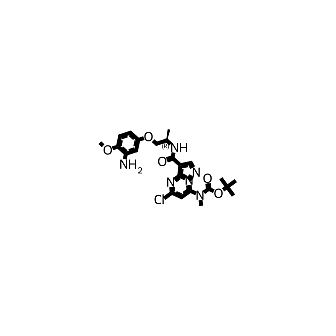 COc1ccc(OC[C@@H](C)NC(=O)c2cnn3c(N(C)C(=O)OC(C)(C)C)cc(Cl)nc23)cc1N